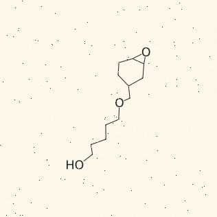 OCCCCCOCC1CCC2OC2C1